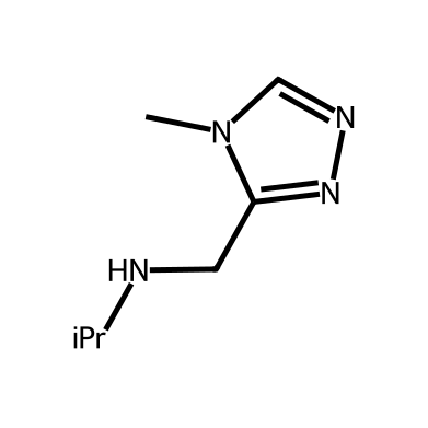 CC(C)NCc1nncn1C